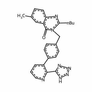 CCCCc1nc2ccc(C)cc2c(=O)n1Cc1ccc(-c2cccnc2-c2nnn[nH]2)cc1